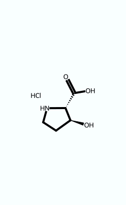 Cl.O=C(O)[C@H]1NCC[C@@H]1O